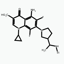 CCNC(C)C1CCN(c2c(F)c(N)c3c(=O)c(C(=O)O)cn(C4CC4)c3c2F)C1